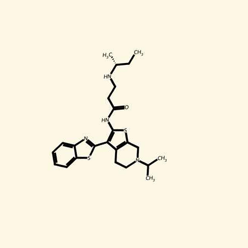 CC[C@@H](C)NCCC(=O)Nc1sc2c(c1-c1nc3ccccc3s1)CCN(C(C)C)C2